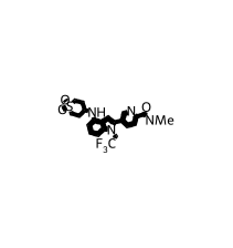 CNC(=O)c1ccc(-c2cc3c(NC4CCS(=O)(=O)CC4)cccc3n2CC(F)(F)F)cn1